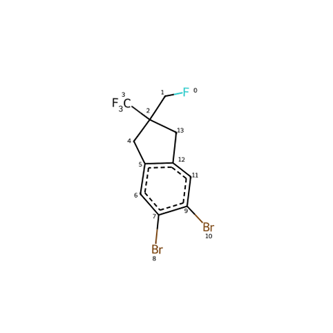 FCC1(C(F)(F)F)Cc2cc(Br)c(Br)cc2C1